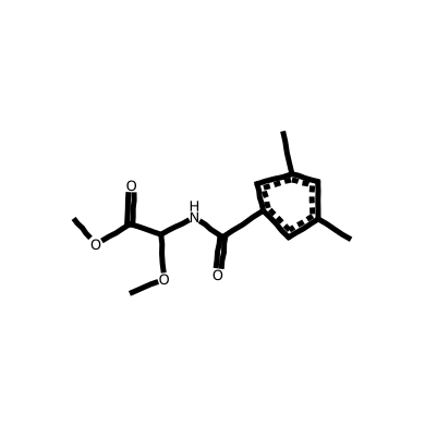 COC(=O)C(NC(=O)c1cc(C)cc(C)c1)OC